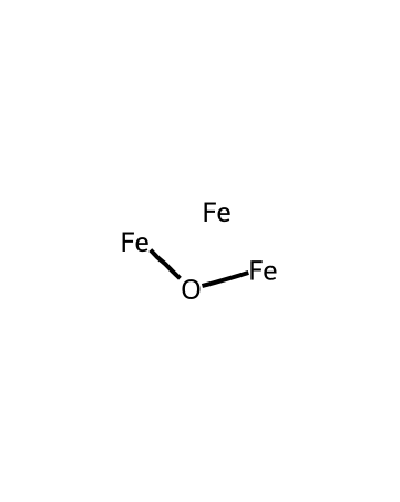 [Fe].[Fe][O][Fe]